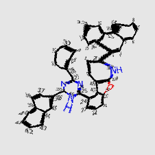 C1=CC(c2cc3ccccc3c3ccccc23)Nc2oc3cccc(C4=NC(c5ccccc5)=NC(c5ccc6ccccc6c5)N4)c3c21